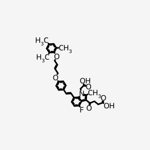 Cc1cc(C)c(OC/C=C/COc2ccc(/C=C/c3ccc(F)c4c(C(=O)CCC(=O)O)c(C)n(CC(=O)O)c34)cc2)c(C)c1